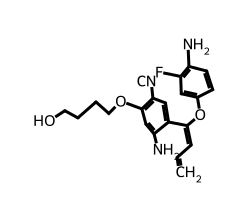 C=C/C=C(/Oc1ccc(N)c(F)c1)c1cc(C#N)c(OCCCCO)cc1N